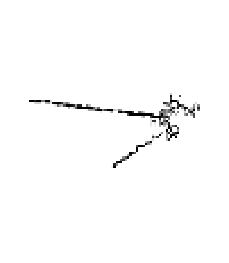 CC#CC#CC#CC#CC#CC#CC#CC#CC#CC#CC#CC#CC(=O)N[C@@H](CO[C@H]1OC(COC(C)=O)[C@@H](C)[C@H](C)C1C)[C@@H]1OC(C)(C)O[C@@H]1CCCCCCCCCCCCCC